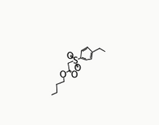 CCCCOC(=O)CS(=O)(=O)c1ccc(CC)cc1